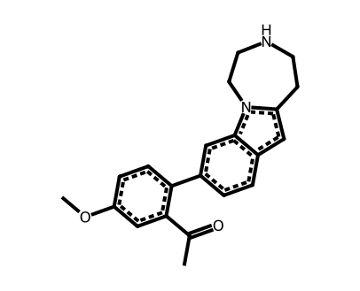 COc1ccc(-c2ccc3cc4n(c3c2)CCNCC4)c(C(C)=O)c1